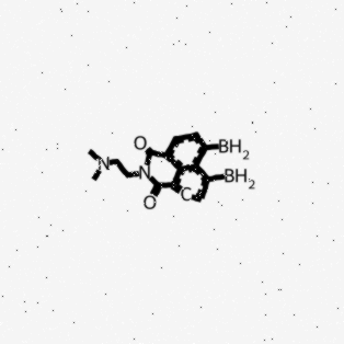 Bc1ccc2c3c(ccc(B)c13)C(=O)N(CCN(C)C)C2=O